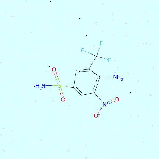 Nc1c([N+](=O)[O-])cc(S(N)(=O)=O)cc1C(F)(F)F